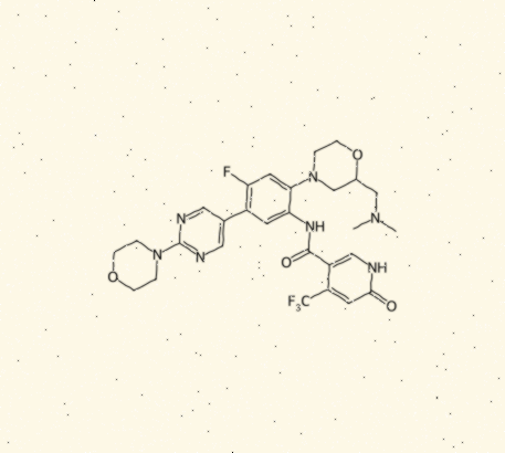 CN(C)CC1CN(c2cc(F)c(-c3cnc(N4CCOCC4)nc3)cc2NC(=O)c2c[nH]c(=O)cc2C(F)(F)F)CCO1